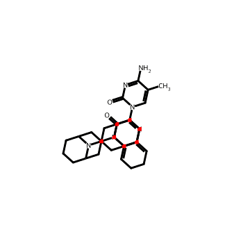 Cc1cn(-c2nc3c(n(C4CC5CCCC(C4)N5C4CC5CCCC(C5)C4)c2=O)=CCCC=3)c(=O)nc1N